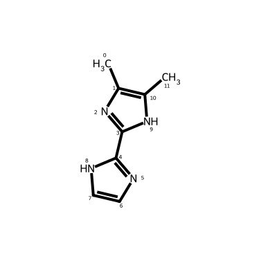 Cc1nc(-c2ncc[nH]2)[nH]c1C